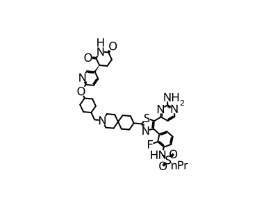 CCCS(=O)(=O)Nc1cccc(-c2nc(C3CCC4(CC3)CCN(CC3CCC(Oc5ccc([C@@H]6CCC(=O)NC6=O)cn5)CC3)CC4)sc2-c2ccnc(N)n2)c1F